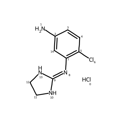 Cl.Nc1ccc(Cl)c(N=C2NCCN2)c1